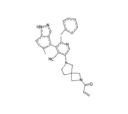 C=CC(=O)N1CC2(CCN(c3cnc(Cc4ccccc4)c(-c4c(C)ccc5[nH]ncc45)c3C#N)C2)C1